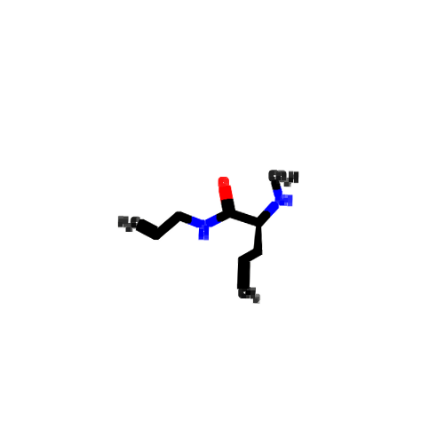 C=CCNC(=O)[C@H](CC=C)NC(=O)O